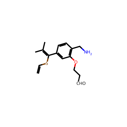 C=CSC(=C(C)C)c1ccc(CN)c(OCCC=O)c1